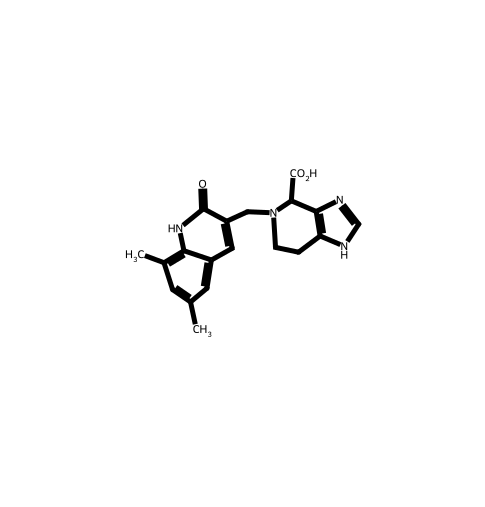 Cc1cc(C)c2[nH]c(=O)c(CN3CCc4[nH]cnc4C3C(=O)O)cc2c1